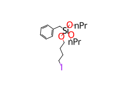 CCCO[Si](Cc1ccccc1)(OCCC)OCCCCI